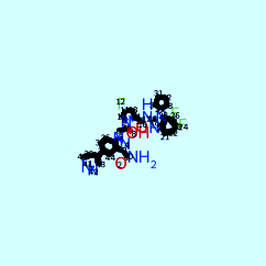 NC(=O)c1nn(CC(O)N2CC(F)CC2C(=O)Nc2nc3ccc(F)c(F)c3n2C2CCCC2)c2ccc(-c3ccnnc3)cc12